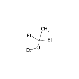 [CH2]C(CC)(CC)OCC